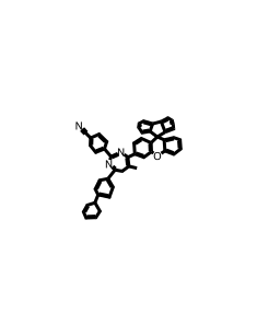 CC1=C(c2ccc3c(c2)Oc2ccccc2C32c3ccccc3-c3ccccc32)N=C(c2ccc(C#N)cc2)N=C(c2ccc(C3C=CC=CC3)cc2)C1